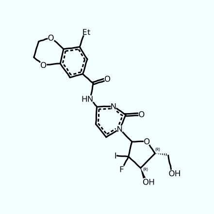 CCc1cc(C(=O)Nc2ccn(C3O[C@H](CO)[C@@H](O)C3(F)I)c(=O)n2)cc2c1OCCO2